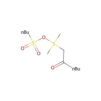 CCCCC(=O)CS(C)(C)OS(=O)(=O)CCCC